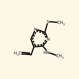 C=Cc1cnc(SC)nc1NC